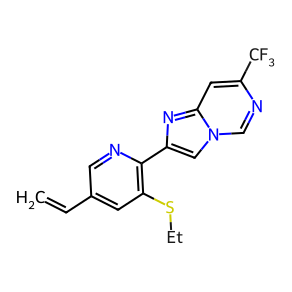 C=Cc1cnc(-c2cn3cnc(C(F)(F)F)cc3n2)c(SCC)c1